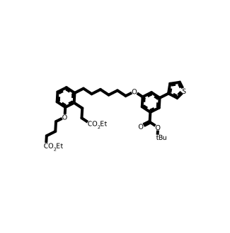 CCOC(=O)CCCOc1cccc(CCCCCCOc2cc(C(=O)OC(C)(C)C)cc(-c3ccsc3)c2)c1CCC(=O)OCC